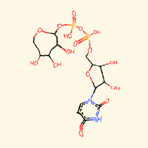 O=c1ccn(C2OC(COP(=O)(O)OP(=O)(O)OC3OCC(O)C(O)C3O)C(O)C2O)c(=O)[nH]1